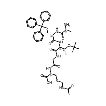 CC(=O)NCSC[C@H](NC(=O)CNC(=O)[C@@H](NC(=O)[C@H](CSC(c1ccccc1)(c1ccccc1)c1ccccc1)NC(=O)[C@H](C)N)[C@@H](C)OC(C)(C)C)C(=O)O